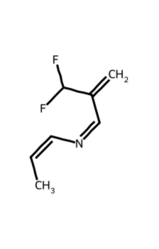 C=C(/C=N\C=C/C)C(F)F